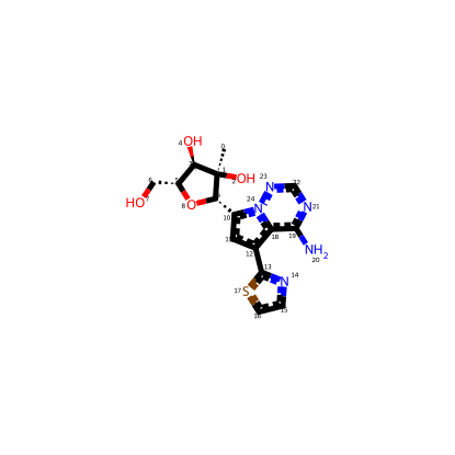 C[C@@]1(O)[C@H](O)[C@@H](CO)O[C@H]1c1cc(-c2nccs2)c2c(N)ncnn12